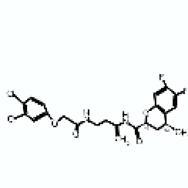 C=C(CCNC(=O)COc1ccc(Cl)c(Cl)c1)NC(=O)[C@@H]1C[C@H](O)c2cc(F)c(F)cc2O1